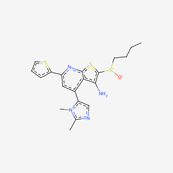 CCCC[S+]([O-])c1sc2nc(-c3cccs3)cc(-c3cnc(C)n3C)c2c1N